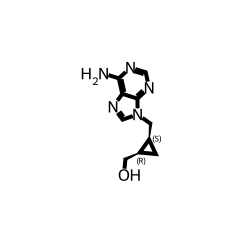 Nc1ncnc2c1ncn2C[C@H]1C[C@H]1CO